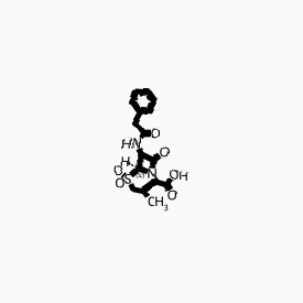 CC1=C(C(=O)O)N2C(=O)C(NC(=O)Cc3ccccc3)[C@@H]2S(=O)(=O)C1